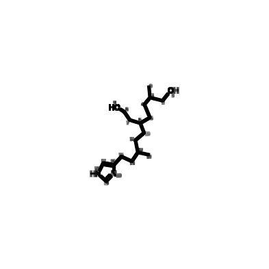 CC(CO)CCC(CCO)CCC(C)CCc1c[nH]cn1